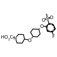 CS(=O)(=O)c1ccc(F)cc1O[C@H]1CC[C@H](OC2CCN(C(=O)O)CC2)CC1